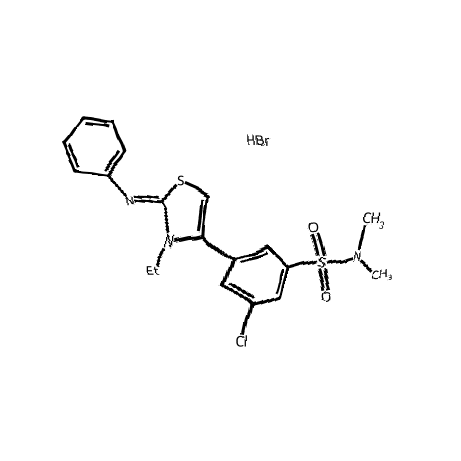 Br.CCn1c(-c2cc(Cl)cc(S(=O)(=O)N(C)C)c2)csc1=Nc1ccccc1